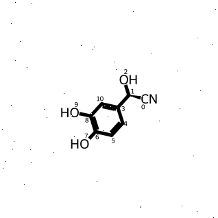 N#C[C@H](O)c1ccc(O)c(O)c1